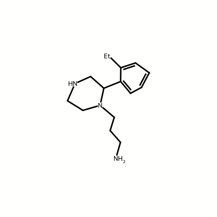 CCc1ccccc1C1CNCCN1CCCN